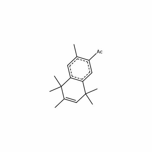 CC(=O)c1cc2c(cc1C)C(C)(C)C(C)=CC2(C)C